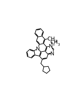 Cc1c2ccccc2cc2c1c1c3c(cc(CC4CCCC4)c4c5ccccc5n2c43)nc[n+]1C